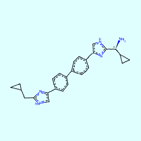 N[C@H](c1nc(-c2ccc(-c3ccc(-c4c[nH]c(CC5CC5)n4)cc3)cc2)c[nH]1)C1CC1